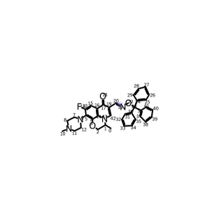 CC1COc2c(N3CCN(C)CC3)c(F)cc3c(=O)c(/C=N/OC(c4ccccc4)(c4ccccc4)c4ccccc4)cn1c23